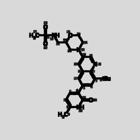 Cc1ccc(-c2cc(C(C)(C)C)c3ncc(N4CCOC(CNS(C)(=O)=O)C4)cc3c2)c(=O)[nH]1